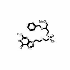 COCC(COP(=O)(O)COCCn1cnc2c(=O)[nH]c(N)nc21)OCc1ccccc1